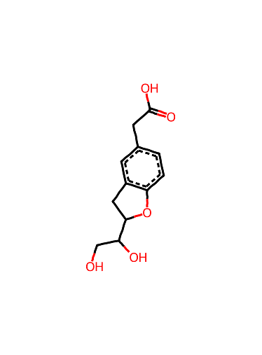 O=C(O)Cc1ccc2c(c1)CC(C(O)CO)O2